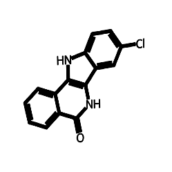 O=c1[nH]c2c3cc(Cl)ccc3[nH]c2c2ccccc12